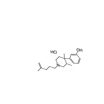 C=C(C)CCCN1CCC(C)(c2cccc(O)c2)C(C)C1.Cl